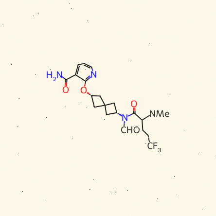 CNC(CCC(F)(F)F)C(=O)N(C=O)[C@H]1CC2(C[C@H](Oc3ncccc3C(N)=O)C2)C1